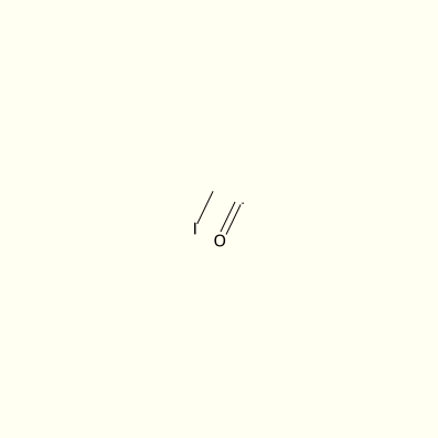 CI.[CH]=O